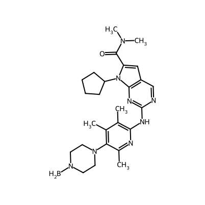 BN1CCN(c2c(C)nc(Nc3ncc4cc(C(=O)N(C)C)n(C5CCCC5)c4n3)c(C)c2C)CC1